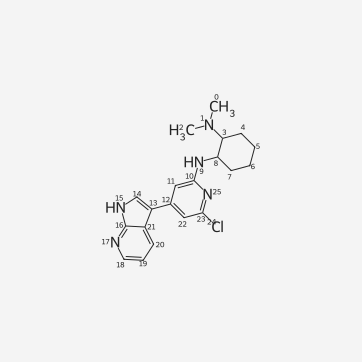 CN(C)C1CCCCC1Nc1cc(-c2c[nH]c3ncccc23)cc(Cl)n1